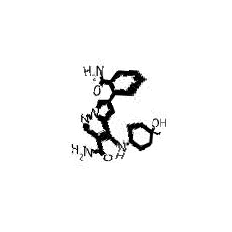 C[C@]1(O)CC[C@@H](Nc2c(C(N)=O)cnn3cc(-c4ccccc4C(N)=O)cc23)CC1